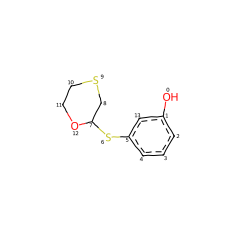 Oc1cccc(SC2CSCCO2)c1